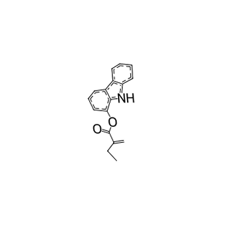 C=C(CC)C(=O)Oc1cccc2c1[nH]c1ccccc12